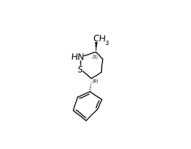 C[C@H]1CC[C@H](c2ccccc2)SN1